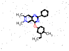 C=Cc1cc(Oc2nc(-c3ccccc3)nc(=C/CC)/c2=C\NC)ccc1C